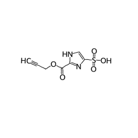 C#CCOC(=O)c1nc(S(=O)(=O)O)c[nH]1